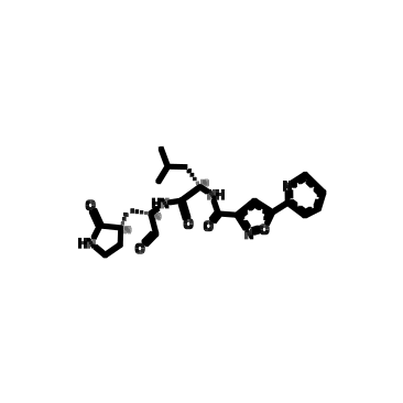 CC(C)C[C@H](NC(=O)c1cc(-c2ccccn2)on1)C(=O)N[C@H](C=O)C[C@@H]1CCNC1=O